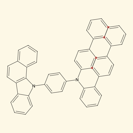 c1ccc(-c2ccc(-c3ccccc3N(c3ccc(-c4ccccc4)cc3)c3ccc(-n4c5ccccc5c5ccc6ccccc6c54)cc3)cc2)cc1